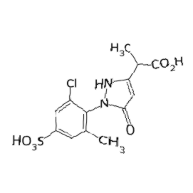 Cc1cc(S(=O)(=O)O)cc(Cl)c1-n1[nH]c(C(C)C(=O)O)cc1=O